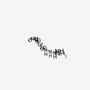 CC(=O)NC[C@H]1CN(c2ccc(-c3cccc(C(=O)NCCCNCCCNC(=N)N)n3)c(F)c2)C(=O)O1